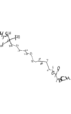 C=CC(=O)OCCCCCCCCCCCCC([SiH3])(I)I